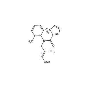 CO/N=C(\C)CN(C(=O)c1ccco1)c1c(C)cccc1C